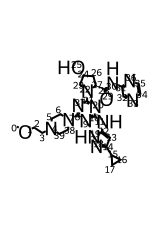 COCCN1CCN(c2nc(Nc3cc(C4CC4)n[nH]3)nc(N3C[C@@H](O)C[C@H]3C(=O)Nc3cnccn3)n2)CC1